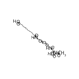 CC(=O)CC[C@H](NC(=O)CCC(=O)NCCCOCCOCCOCCCNC(=O)CCCCCCCCCCCCCCCCCCC(=O)O)C(=O)O